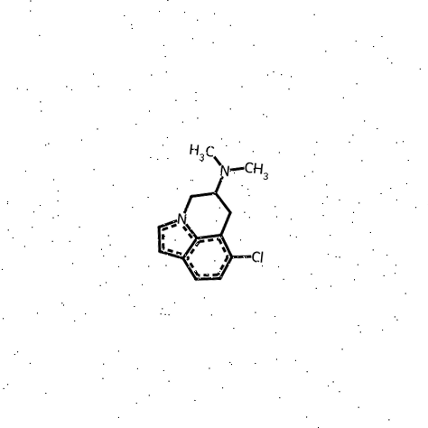 CN(C)C1Cc2c(Cl)ccc3ccn(c23)C1